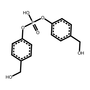 O=P(O)(Oc1ccc(CO)cc1)Oc1ccc(CO)cc1